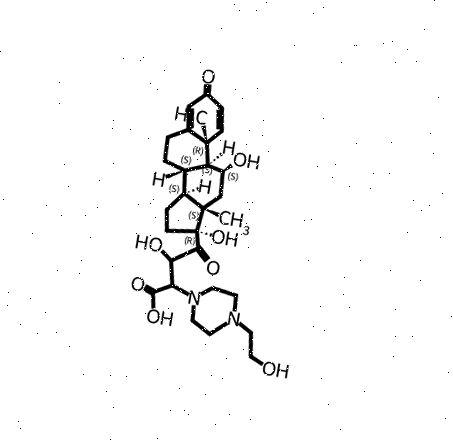 C[C@]12C=CC(=O)C=C1CC[C@@H]1[C@@H]2[C@@H](O)C[C@@]2(C)[C@H]1CC[C@]2(O)C(=O)C(O)C(C(=O)O)N1CCN(CCO)CC1